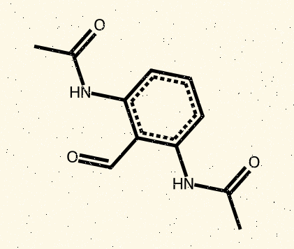 CC(=O)Nc1cccc(NC(C)=O)c1C=O